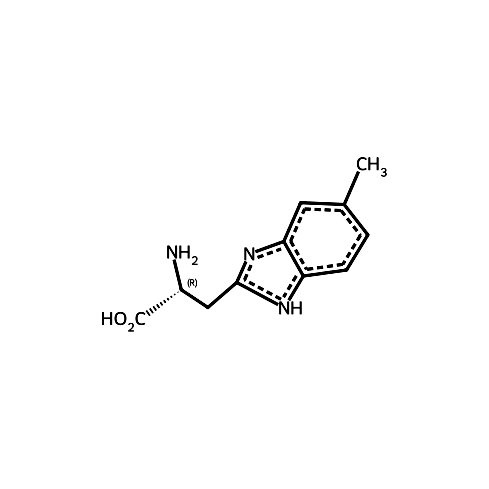 Cc1ccc2[nH]c(C[C@@H](N)C(=O)O)nc2c1